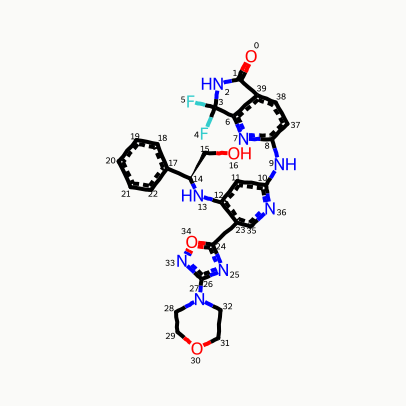 O=C1NC(F)(F)c2nc(Nc3cc(N[C@H](CO)c4ccccc4)c(-c4nc(N5CCOCC5)no4)cn3)ccc21